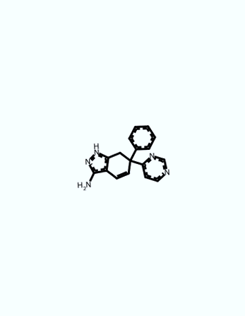 Nc1n[nH]c2c1C=CC(c1ccccc1)(c1ccncn1)C2